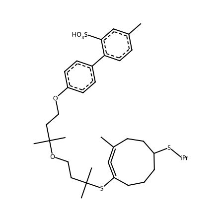 CC1=C=C(SC(C)(C)CCOC(C)(C)CCOc2ccc(-c3ccc(C)cc3S(=O)(=O)O)cc2)CCCC(SC(C)C)CC1